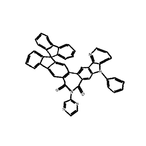 O=c1c2cc3c(cc2c2cc4c5ncccc5n(-c5ccccc5)c4cc2c(=O)n1-c1cnccn1)C1(c2ccccc2-c2ccccc21)c1ccccc1-3